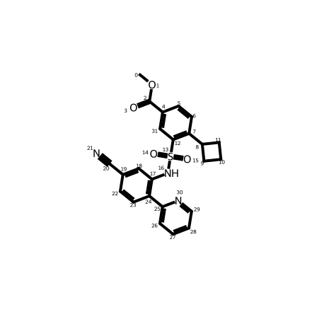 COC(=O)c1ccc(C2CCC2)c(S(=O)(=O)Nc2cc(C#N)ccc2-c2ccccn2)c1